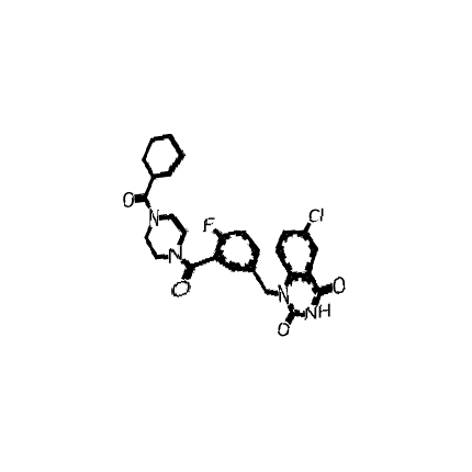 O=C(c1cc(Cn2c(=O)[nH]c(=O)c3cc(Cl)ccc32)ccc1F)N1CCN(C(=O)C2CCCCC2)CC1